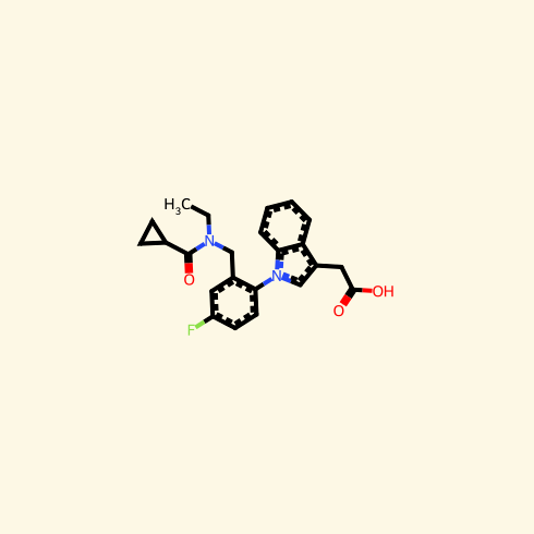 CCN(Cc1cc(F)ccc1-n1cc(CC(=O)O)c2ccccc21)C(=O)C1CC1